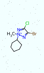 C[N+]1(C2CCCCC2)N=C(Cl)C(Br)=N1